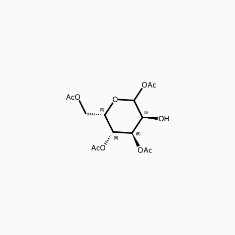 CC(=O)OC[C@@H]1OC(OC(C)=O)[C@@H](O)[C@@H](OC(C)=O)[C@@H]1OC(C)=O